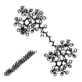 O=C(NCCCCCCNC(=O)[C@H](OS(=O)(=O)[O-])[C@@H](OS(=O)(=O)[O-])[C@H](O[C@@H]1O[C@H](COS(=O)(=O)[O-])[C@H](OS(=O)(=O)[O-])[C@H](OS(=O)(=O)[O-])[C@H]1OS(=O)(=O)[O-])[C@@H](COS(=O)(=O)[O-])OS(=O)(=O)[O-])[C@@H](OS(=O)(=O)[O-])[C@H](OS(=O)(=O)[O-])[C@@H](O[C@H]1O[C@@H](COS(=O)(=O)[O-])[C@@H](OS(=O)(=O)[O-])[C@@H](OS(=O)(=O)[O-])[C@@H]1OS(=O)(=O)[O-])[C@H](COS(=O)(=O)[O-])OS(=O)(=O)[O-].[Na+].[Na+].[Na+].[Na+].[Na+].[Na+].[Na+].[Na+].[Na+].[Na+].[Na+].[Na+].[Na+].[Na+].[Na+].[Na+]